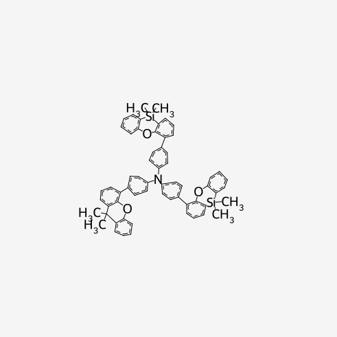 CC1(C)c2ccccc2Oc2c(-c3ccc(N(c4ccc(-c5cccc6c5Oc5ccccc5[Si]6(C)C)cc4)c4ccc(-c5cccc6c5Oc5ccccc5[Si]6(C)C)cc4)cc3)cccc21